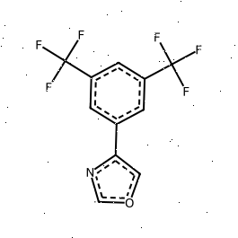 FC(F)(F)c1cc(-c2co[c]n2)cc(C(F)(F)F)c1